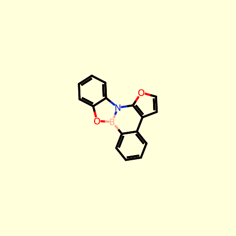 c1ccc2c(c1)OB1c3ccccc3-c3ccoc3N12